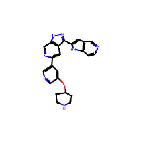 c1cc2[nH]c(-c3n[nH]c4cnc(-c5cncc(OC6CCNCC6)c5)cc34)cc2cn1